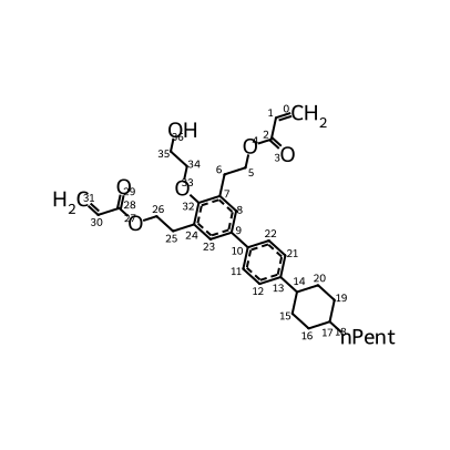 C=CC(=O)OCCc1cc(-c2ccc(C3CCC(CCCCC)CC3)cc2)cc(CCOC(=O)C=C)c1OCCO